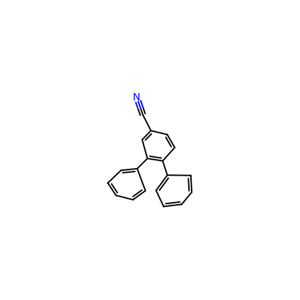 N#Cc1ccc(-c2ccccc2)c(-c2ccccc2)c1